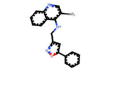 O=[N+]([O-])c1cnc2ccccc2c1NCc1cc(-c2ccccc2)on1